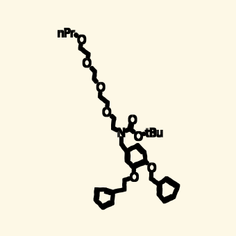 CCCOCCOCCOCCOCCN(Cc1ccc(OCc2ccccc2)c(OCCc2ccccc2)c1)C(=O)OC(C)(C)C